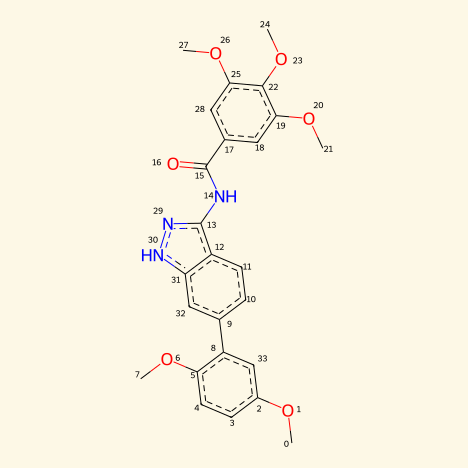 COc1ccc(OC)c(-c2ccc3c(NC(=O)c4cc(OC)c(OC)c(OC)c4)n[nH]c3c2)c1